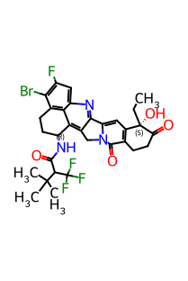 CC[C@@]1(O)C(=O)CCc2c1cc1n(c2=O)Cc2c-1nc1cc(F)c(Br)c3c1c2[C@H](NC(=O)C(C(C)(C)C)C(F)(F)F)CC3